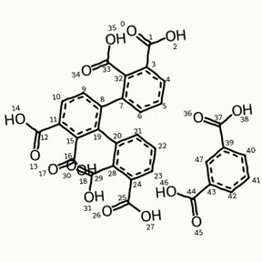 O=C(O)c1cccc(-c2ccc(C(=O)O)c(C(=O)O)c2-c2cccc(C(=O)O)c2C(=O)O)c1C(=O)O.O=C(O)c1cccc(C(=O)O)c1